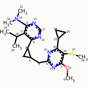 COc1nc(CC2CC2c2ncnc(N(C)C)c2C(C)C)nc(C2CC2)c1SC